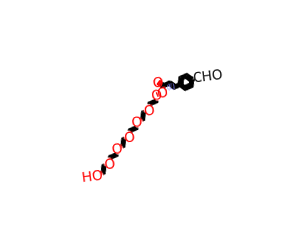 O=Cc1ccc(/C=C/C(=O)OOCCOCCOCCOCCOCCOCCO)cc1